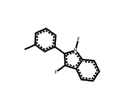 Cc1cccc(-c2c(F)c3ccccc3n2F)c1